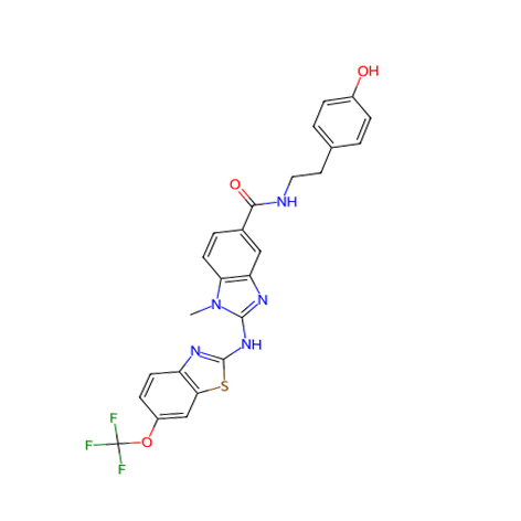 Cn1c(Nc2nc3ccc(OC(F)(F)F)cc3s2)nc2cc(C(=O)NCCc3ccc(O)cc3)ccc21